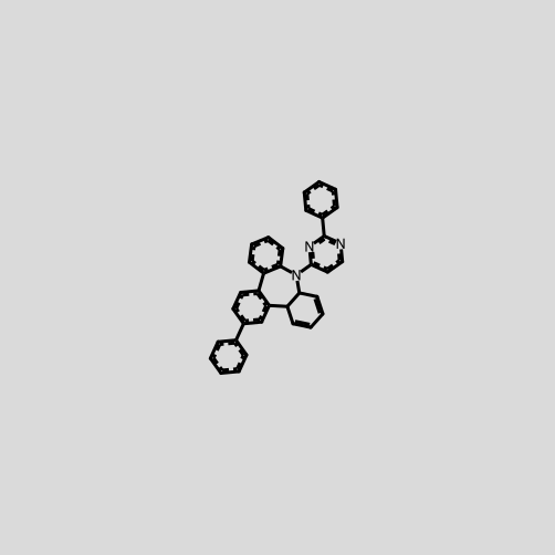 C1=CC2c3cc(-c4ccccc4)ccc3-c3ccccc3N(c3ccnc(-c4ccccc4)n3)C2C=C1